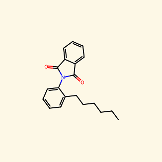 CCCCCCc1ccccc1N1C(=O)c2ccccc2C1=O